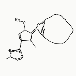 CCOC1C=C(c2ccc(C)[nH]2)N(C)C1=C1N=C2C=C1CCCCCCCCC2